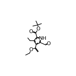 C=C(OCC)c1c(C=O)[nH]c(C(=O)OC(C)(C)C)c1CC